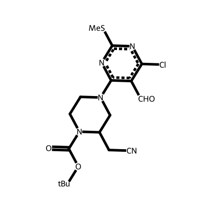 CSc1nc(Cl)c(C=O)c(N2CCN(C(=O)OC(C)(C)C)C(CC#N)C2)n1